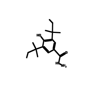 CCC(C)(C)c1cc(C(=O)NN)cc(C(C)(C)CC)c1O